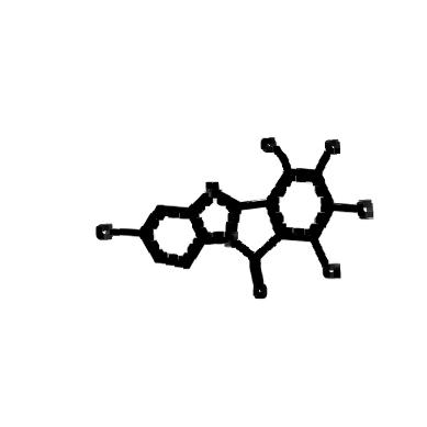 O=C1c2c(Cl)c(Cl)c(Cl)c(Cl)c2-c2nc3cc(Cl)ccc3n21